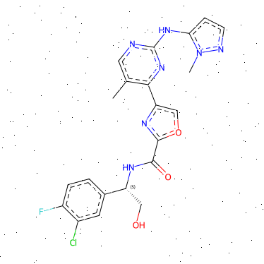 Cc1cnc(Nc2ccnn2C)nc1-c1coc(C(=O)N[C@H](CO)c2ccc(F)c(Cl)c2)n1